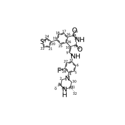 C[C@@H]1CN(c2ccc(NC=C3C(=O)NC(=O)c4ccc(-c5ccsc5)cc43)cc2F)C[C@H](C)N1